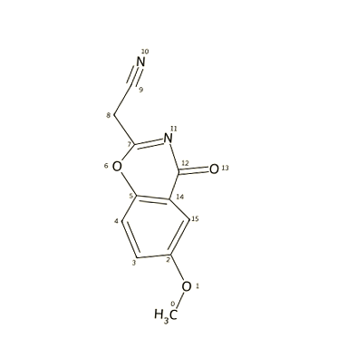 COc1ccc2oc(CC#N)nc(=O)c2c1